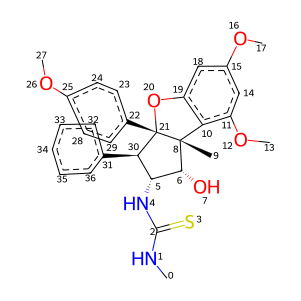 CNC(=S)N[C@H]1[C@@H](O)[C@@]2(C)c3c(OC)cc(OC)cc3O[C@@]2(c2ccc(OC)cc2)[C@@H]1c1ccccc1